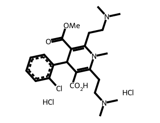 COC(=O)C1=C(CCN(C)C)N(C)C(CCN(C)C)=C(C(=O)O)C1c1ccccc1Cl.Cl.Cl